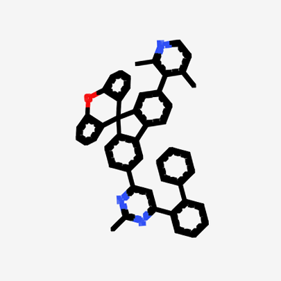 Cc1nc(-c2ccc3c(c2)-c2ccc(-c4c(C)ccnc4C)cc2C32c3ccccc3Oc3ccccc32)cc(-c2ccccc2-c2ccccc2)n1